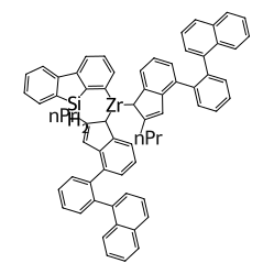 CCCC1=Cc2c(-c3ccccc3-c3cccc4ccccc34)cccc2[CH]1[Zr]([c]1cccc2c1[SiH2]c1ccccc1-2)[CH]1C(CCC)=Cc2c(-c3ccccc3-c3cccc4ccccc34)cccc21